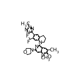 Cc1cc2c(N3CCCc4cc(-c5nnn(C)n5)c(C(F)F)cc43)nc(N3CCOCC3)cc2n(C)c1=O